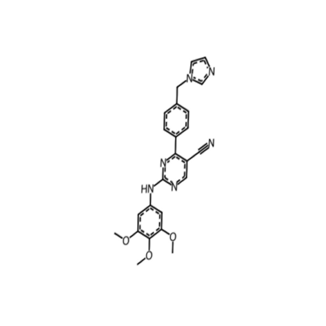 COc1cc(Nc2ncc(C#N)c(-c3ccc(Cn4ccnc4)cc3)n2)cc(OC)c1OC